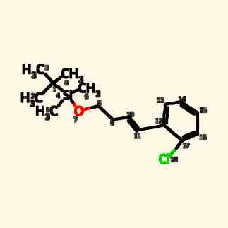 CC(C)(C)[Si](C)(C)OCCC=Cc1ccccc1Cl